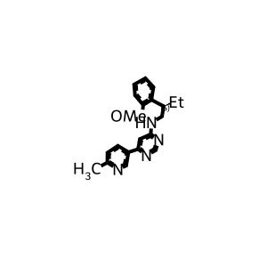 CC[C@H](CNc1cc(-c2ccc(C)nc2)ncn1)c1ccccc1OC